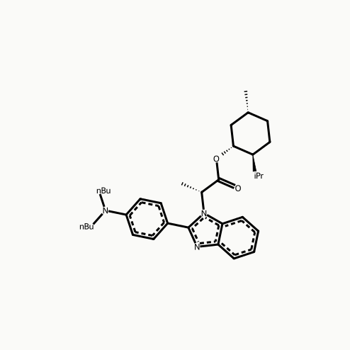 CCCCN(CCCC)c1ccc(-c2nc3ccccc3n2[C@H](C)C(=O)O[C@@H]2C[C@H](C)CC[C@H]2C(C)C)cc1